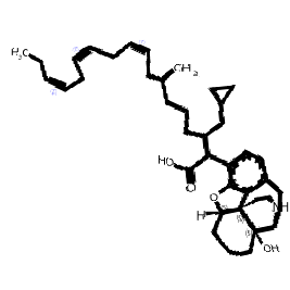 C=C(C/C=C\C/C=C\C/C=C\CC)CCCC(CC1CC1)C(C(=O)O)c1ccc2c3c1O[C@H]1CCC[C@@]4(O)C(C2)NCC[C@]314